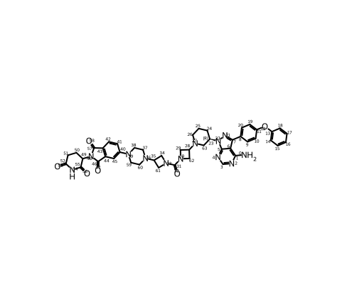 Nc1ncnc2c1c(-c1ccc(Oc3ccccc3)cc1)nn2[C@@H]1CCCN(C2CN(C(=O)N3CC(N4CCN(c5ccc6c(c5)C(=O)N(C5CCC(=O)NC5=O)C6=O)CC4)C3)C2)C1